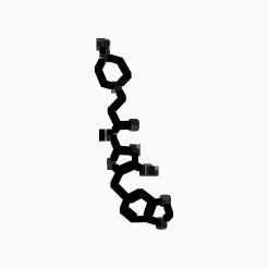 CCN1CCN(CCC(=O)Nc2nc(C(C)(C)C)c(Cc3ccc4c(c3)OCO4)s2)CC1